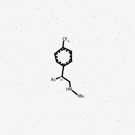 CC(=O)[C@H](CNC(C)(C)C)c1ccc(C(F)(F)F)cc1